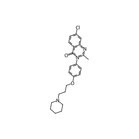 Cc1nc2cc(Cl)ccc2c(=O)n1-c1ccc(OCCCN2CCCCC2)cc1